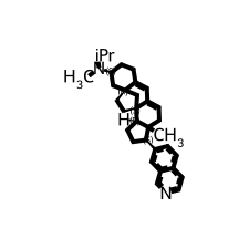 CC(C)N(C)[C@H]1CCC2=CC3=CCC4(C)[C@@H](c5ccc6ccncc6c5)CC[C@H]4[C@@]34CC[C@]2(C1)C4